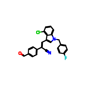 N#C/C(=C\c1cn(Cc2ccc(F)cc2)c2cccc(Cl)c12)c1ccc(C=O)cc1